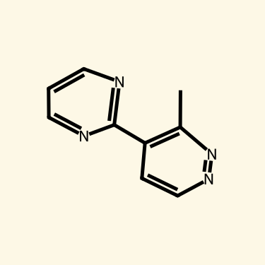 Cc1nnccc1-c1ncccn1